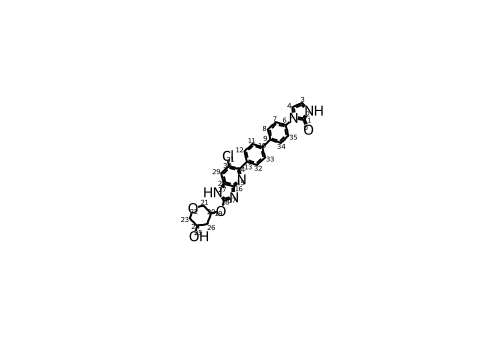 O=c1[nH]ccn1-c1ccc(-c2ccc(-c3nc4nc(OC5COCC(O)C5)[nH]c4cc3Cl)cc2)cc1